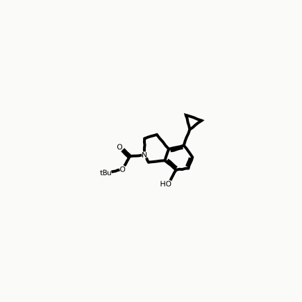 CC(C)(C)OC(=O)N1CCc2c(C3CC3)ccc(O)c2C1